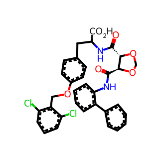 O=C(O)C(Cc1ccc(OCc2c(Cl)cccc2Cl)cc1)NC(=O)[C@@H]1OCO[C@H]1C(=O)Nc1ccccc1-c1ccccc1